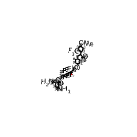 COc1ccc(-c2cc3ccc(OCCC(F)(F)C(F)(F)C(F)(F)C(F)(F)CCOC(=O)C(CC(C)(C)N)C(C)(C)N)cc3oc2=O)c(C(F)(F)F)c1